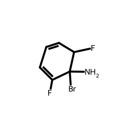 NC1(Br)C(F)=CC=CC1F